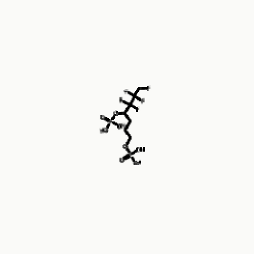 O=P(O)(O)OCCCC(OP(=O)(O)O)C(F)(F)C(F)(F)CF